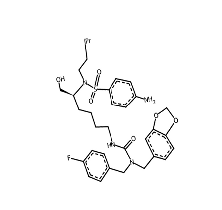 CC(C)CCN([C@H](CO)CCCCNC(=O)N(Cc1ccc(F)cc1)Cc1ccc2c(c1)OCO2)S(=O)(=O)c1ccc(N)cc1